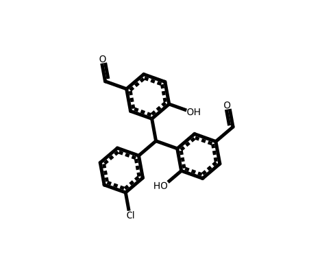 O=Cc1ccc(O)c(C(c2cccc(Cl)c2)c2cc(C=O)ccc2O)c1